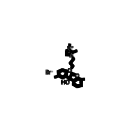 Cc1cccc(C(O)(C(=O)OCCCn2cc[n+](C)c2C)c2cccc(C)c2)c1.[Br-]